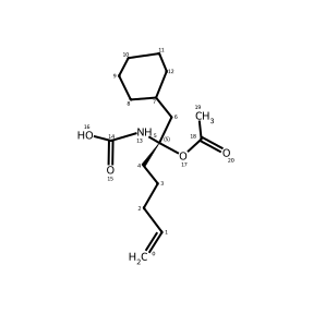 C=CCCC[C@](CC1CCCCC1)(NC(=O)O)OC(C)=O